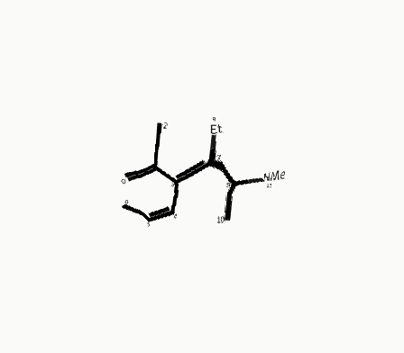 C=C(C)C(/C=C\C)=C(\CC)C(C)NC